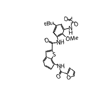 COc1c(NC(=O)c2cc3cccc(NC(=O)c4ccco4)c3s2)cc(C(C)(C)C)cc1NS(C)(=O)=O